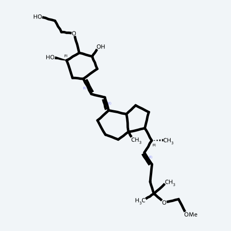 COCOC(C)(C)C/C=C/[C@@H](C)C1CCC2/C(=C/C=C3\CC(O)C(OCCO)[C@H](O)C3)CCCC21C